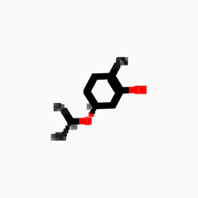 CCCC[C@@H](O[C@@H]1CCC(C#N)=C(O)C1)C(C)C